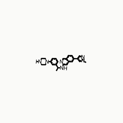 CC(Nc1cc2cc(-c3cnn(C)c3)ccc2cn1)c1cccc(N2CCN(I)CC2)c1